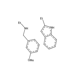 CCNCc1cccc(OC)c1.CCc1cc2ccccc2[nH]1